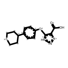 O=C(O)c1nn[nH]c1Oc1ccc(C2CCSCC2)cc1